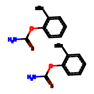 CCCCc1ccccc1OC(N)=S.CCCCc1ccccc1OC(N)=S